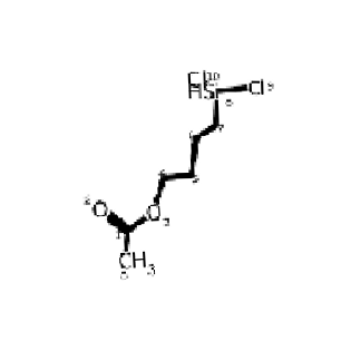 CC(=O)OCCCC[SiH](Cl)Cl